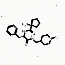 CCN1CCC(CNC(=O)[C@@H](Cc2ccccc2)NC(=O)C2(N)CCCC2)CC1